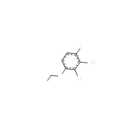 CCOc1ccc(C)c(C)c1C